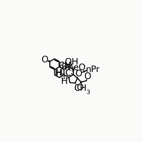 CCCC1(OC)OCC(=O)[C@@]2(O1)[C@@H](C)C[C@H]1[C@@H]3CCC4=CC(=O)C=C[C@]4(C)[C@@]3(F)[C@@H](O)C[C@@]12C